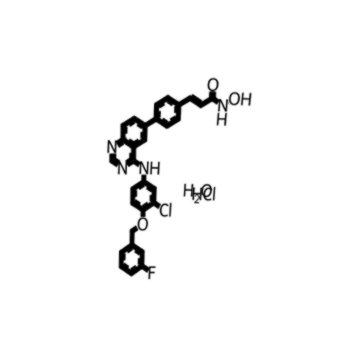 Cl.O.O=C(C=Cc1ccc(-c2ccc3ncnc(Nc4ccc(OCc5cccc(F)c5)c(Cl)c4)c3c2)cc1)NO